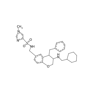 Cn1cnc(S(=O)(=O)NCc2ccc3c(c2)C(Cc2ccccc2)C(NCC2CCCCC2)CO3)c1